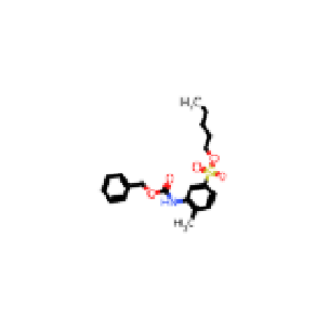 CCCCCOS(=O)(=O)c1ccc(C)c(NC(=O)OCc2ccccc2)c1